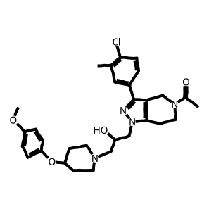 COc1ccc(OC2CCN(CC(O)Cn3nc(-c4ccc(Cl)c(C)c4)c4c3CCN(C(C)=O)C4)CC2)cc1